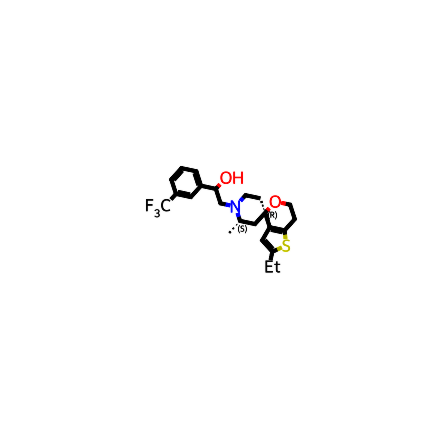 CCc1cc2c(s1)CCO[C@@]21CCN(CC(O)c2cccc(C(F)(F)F)c2)[C@@H](C)C1